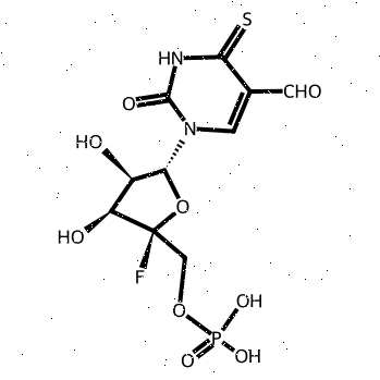 O=Cc1cn([C@@H]2O[C@](F)(COP(=O)(O)O)[C@@H](O)[C@H]2O)c(=O)[nH]c1=S